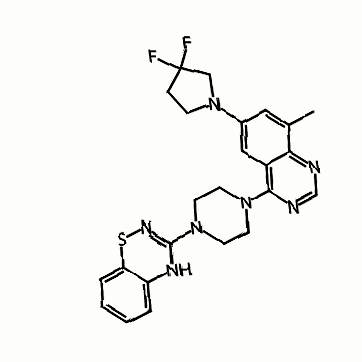 Cc1cc(N2CCC(F)(F)C2)cc2c(N3CCN(C4=NSc5ccccc5N4)CC3)ncnc12